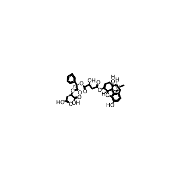 CN1CC[C@]23c4c5ccc(O)c4O[C@H]2C(OC(=O)C[C@H](O)C(=O)O[C@H](C(=O)O[C@H](CC(=O)O)C(=O)O)c2ccccc2)=CC[C@@]3(O)[C@H]1C5